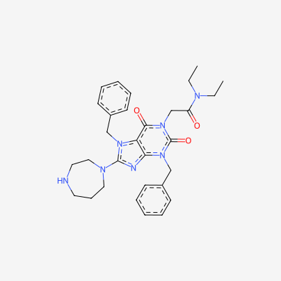 CCN(CC)C(=O)Cn1c(=O)c2c(nc(N3CCCNCC3)n2Cc2ccccc2)n(Cc2ccccc2)c1=O